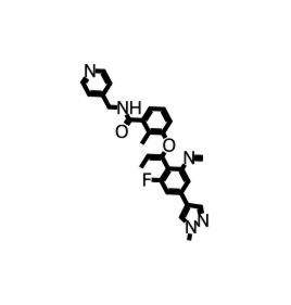 C=Nc1cc(-c2cnn(C)c2)cc(F)c1/C(=C\C)Oc1cccc(C(=O)NCc2ccncc2)c1C